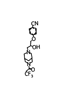 N#Cc1ccc(OCC(O)CN2CC3CC(C2)CN(C(=O)CC(F)(F)F)C3)cc1